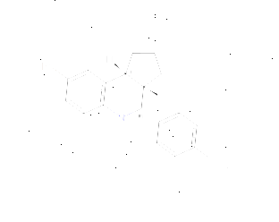 O=C(O)c1ccc([C@@H]2Nc3ccc(Br)cc3[C@@H]3CCC[C@@H]32)cc1